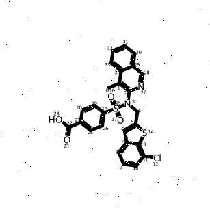 Cc1c(N(Cc2cc3cccc(Cl)c3s2)S(=O)(=O)c2ccc(C(=O)O)cc2)ncc2ccccc12